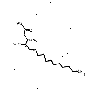 CCCCCCCCCCCCC(C)C(O)CC(=O)O